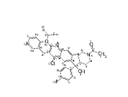 CC(=O)N1CCC(C(O)(c2ccc(F)cc2)c2ccc3nc(OC(F)F)c(Cc4cccnc4)c(Cl)c3c2)CC1